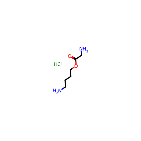 Cl.NCCCCOC(=O)CN